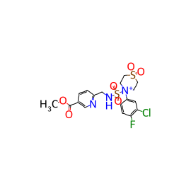 COC(=O)c1ccc(CNS(=O)(=O)[N+]2(c3ccc(F)c(Cl)c3)CCS(=O)(=O)CC2)nc1